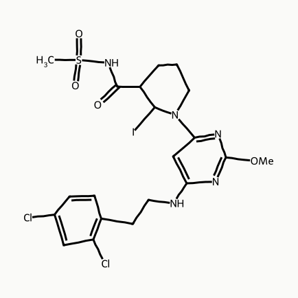 COc1nc(NCCc2ccc(Cl)cc2Cl)cc(N2CCCC(C(=O)NS(C)(=O)=O)C2I)n1